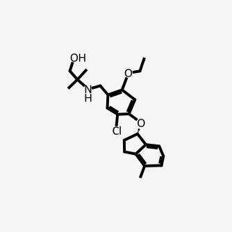 CCOc1cc(O[C@H]2CCc3c(C)cccc32)c(Cl)cc1CNC(C)(C)CO